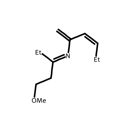 C=C(/C=C\CC)/N=C(\CC)CCOC